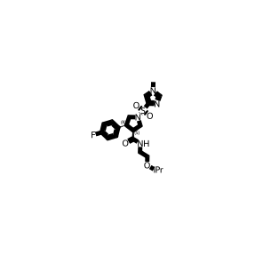 CC(C)OCCNC(=O)[C@@H]1CN(S(=O)(=O)c2cn(C)cn2)C[C@H]1c1ccc(F)cc1